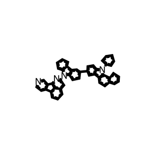 c1ccc(-n2c3ccc(-c4ccc5c(c4)c4ccccc4n5-c4cc5cccc6c5c(n4)-c4cnccc4-6)cc3c3ccc4ccccc4c32)cc1